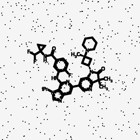 CC(C)n1cnc2cc(-c3cnc4c(c3)N([C@H]3C[C@@](C)(N5CCCCC5)C3)C(=O)C4(C)C)nc(Nc3cc(C(=O)NC4(C(F)F)CC4)ccc3F)c21